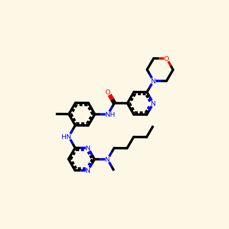 CCCCCN(C)c1nccc(Nc2cc(NC(=O)c3ccnc(N4CCOCC4)c3)ccc2C)n1